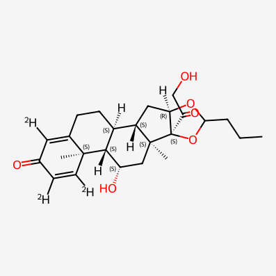 [2H]C1=C([2H])[C@@]2(C)C(=C([2H])C1=O)CC[C@@H]1[C@@H]2[C@@H](O)C[C@@]2(C)[C@H]1C[C@H]1OC(CCC)O[C@]12C(=O)CO